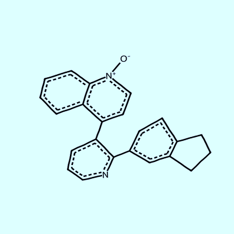 [O-][n+]1ccc(-c2cccnc2-c2ccc3c(c2)CCC3)c2ccccc21